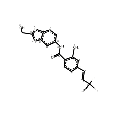 Cc1cc(C=CC(F)(F)F)ccc1C(=O)Nc1cnc2oc(CO)nc2c1